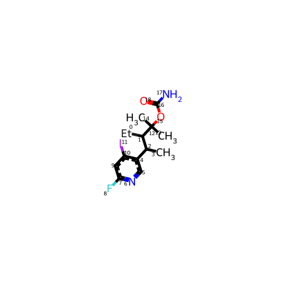 CCC(C(C)c1cnc(F)cc1I)C(C)(C)OC(N)=O